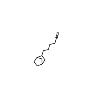 N#CCCCCC1CC2CCC1C2